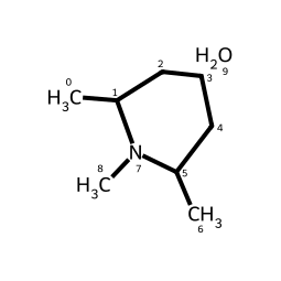 CC1CCCC(C)N1C.O